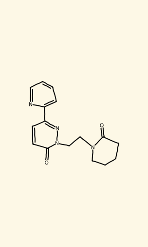 O=C1CCCCN1CCn1nc(-c2ccccn2)ccc1=O